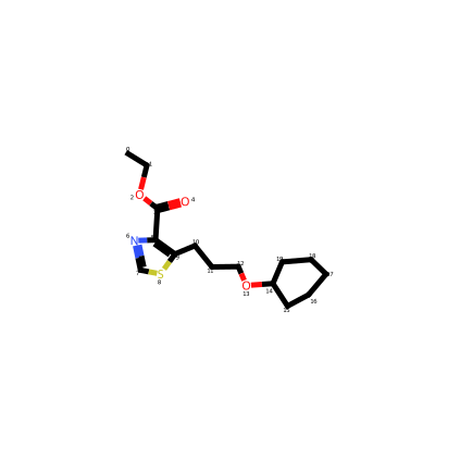 CCOC(=O)c1ncsc1CCCOC1CCCCC1